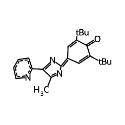 CC1=NC(=C2C=C(C(C)(C)C)C(=O)C(C(C)(C)C)=C2)N=C1c1ccccn1